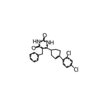 O=c1[nH]c(C2CC=C(c3ccc(Cl)cc3Cl)CC2)c(Cc2ccccc2)c(=O)[nH]1